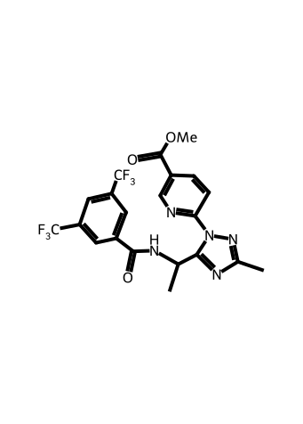 COC(=O)c1ccc(-n2nc(C)nc2C(C)NC(=O)c2cc(C(F)(F)F)cc(C(F)(F)F)c2)nc1